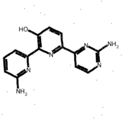 Nc1cccc(-c2nc(-c3ccnc(N)n3)ccc2O)n1